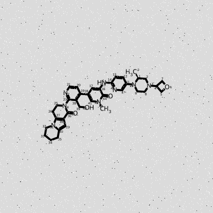 C[C@H]1CN(C2COC2)CCN1c1ccc(Nc2cc(-c3ccnc(N4CCc5c(cc6n5CCCC6)C4=O)c3CO)cn(C)c2=O)nc1